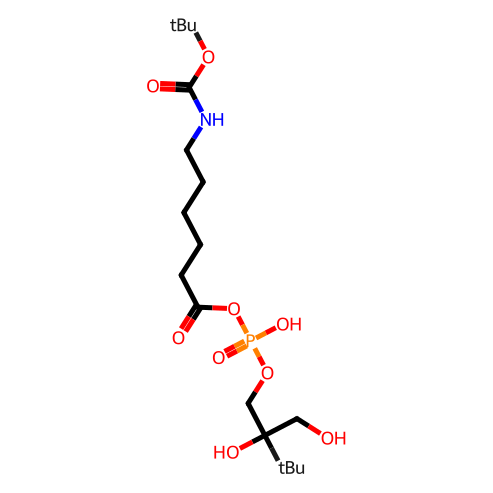 CC(C)(C)OC(=O)NCCCCCC(=O)OP(=O)(O)OCC(O)(CO)C(C)(C)C